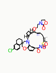 C[C@@H]1[C@@H](C)C/C=C/[C@H](OCCN2CCOC2=O)[C@@H]2CC[C@H]2CN2C[C@@]3(CCCc4cc(Cl)ccc43)COc3ccc(cc32)C(=O)NS1(=O)=O